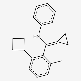 Cc1cccc(C2CCC2)c1C(Nc1ccccc1)=C1CC1